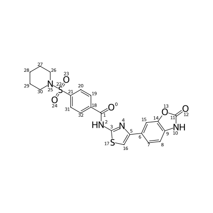 O=C(Nc1nc(-c2ccc3[nH]c(=O)oc3c2)cs1)c1ccc(S(=O)(=O)N2CCCCC2)cc1